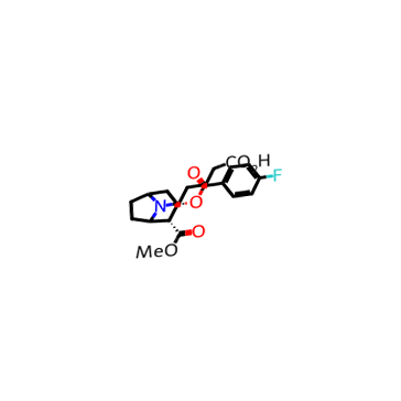 COC(=O)[C@@H]1C2CCC(C[C@@H]1OC(=O)c1ccc(F)cc1)N2CCCCC(=O)O